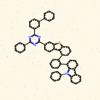 c1ccc(-c2cccc(-c3nc(-c4ccccc4)nc(-c4ccc5c(c4)sc4cccc(-c6ccccc6-c6cccc7c8ccccc8n(-c8ccccc8)c67)c45)n3)c2)cc1